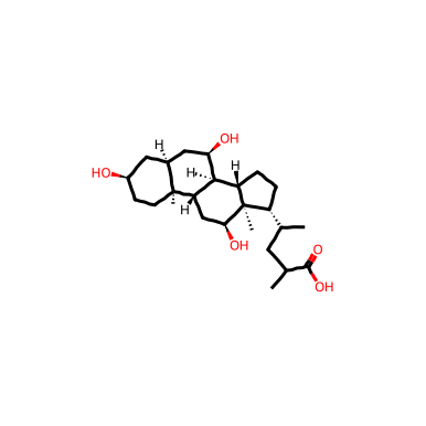 CC(CC(C)[C@H]1CC[C@H]2[C@@H]3[C@H](O)C[C@@H]4C[C@H](O)CC[C@]4(C)[C@H]3C[C@H](O)[C@]12C)C(=O)O